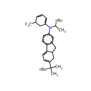 CCCCC(C)N(C1=CC=CC(C(F)(F)F)C1)c1ccc2c(c1)CC1CC(C(C)(C)CCCC)=CC=C21